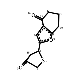 O=C1CSC(c2cc3c(o2)CCCC3=O)C1